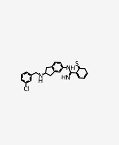 N=C(Nc1ccc2c(c1)CC(NCc1cccc(Cl)c1)C2)C1=CC=CCC1=S